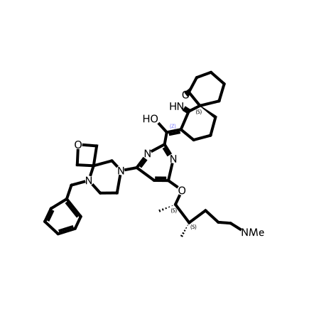 CNCCC[C@H](C)[C@H](C)Oc1cc(N2CCN(Cc3ccccc3)C3(COC3)C2)nc(/C(O)=C2\CCC[C@@]3(CCCCC3=O)C2=N)n1